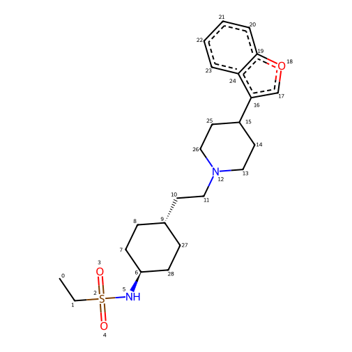 CCS(=O)(=O)N[C@H]1CC[C@H](CCN2CCC(c3coc4ccccc34)CC2)CC1